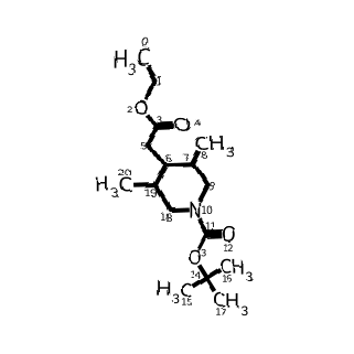 CCOC(=O)CC1C(C)CN(C(=O)OC(C)(C)C)CC1C